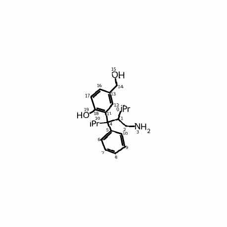 CC(C)C(CN)C(c1ccccc1)(c1cc(CO)ccc1O)C(C)C